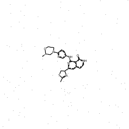 CC1=NC(c2cc3cc[nH]c(=O)c3c(Nc3ccc(N4CCO[C@H](C)C4)nc3)n2)CS1